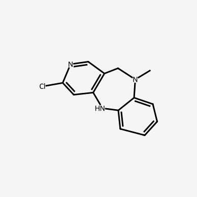 CN1Cc2cnc(Cl)cc2Nc2ccccc21